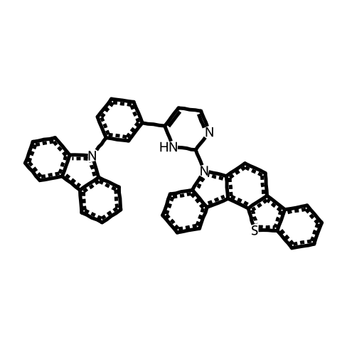 C1=NC(n2c3ccccc3c3c4sc5ccccc5c4ccc32)NC(c2cccc(-n3c4ccccc4c4ccccc43)c2)=C1